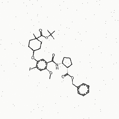 COc1cc(F)c(OC2CCC(C)(C(=O)OC(C)(C)C)CC2)cc1C(=O)N[C@@H]1CCC[C@@H]1C(=O)OCc1ccccc1